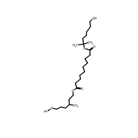 CC(CCCOC(C)C)CCOC(=O)CCCCCCCCC(=O)OC(C)(C)CCCCCO